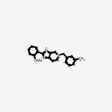 COc1ccccc1-c1nc2ccn(Cc3cccc(C)c3)cc-2n1